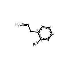 C=CCc1ccc[c]c1Br